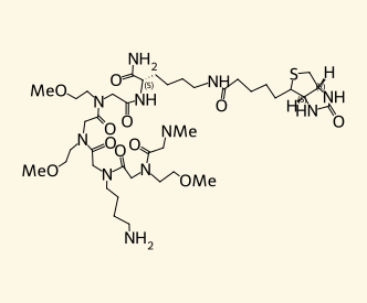 CNCC(=O)N(CCOC)CC(=O)N(CCCCN)CC(=O)N(CCOC)CC(=O)N(CCOC)CC(=O)N[C@@H](CCCCNC(=O)CCCCC1SC[C@@H]2NC(=O)N[C@H]12)C(N)=O